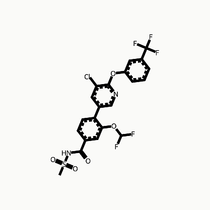 CS(=O)(=O)NC(=O)c1ccc(-c2cnc(Oc3cccc(C(F)(F)F)c3)c(Cl)c2)c(OC(F)F)c1